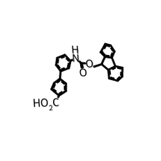 O=C(Nc1cccc(-c2ccc(C(=O)O)cc2)c1)OCC1c2ccccc2-c2ccccc21